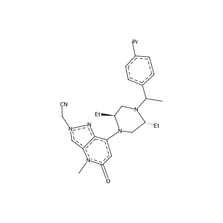 CC[C@H]1CN(C(C)c2ccc(C(C)C)cc2)[C@H](CC)CN1c1cc(=O)n(C)c2cn(CC#N)nc12